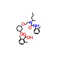 CCCC(C)N(CCO[C@H]1CCCC(OCc2cccc(C)c2C(=O)O)C1)C(=O)Nc1ccccc1C